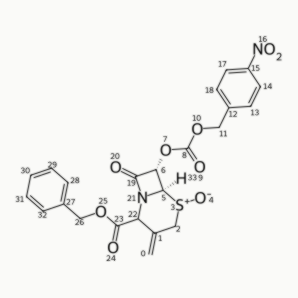 C=C1C[S+]([O-])[C@@H]2[C@@H](OC(=O)OCc3ccc([N+](=O)[O-])cc3)C(=O)N2C1C(=O)OCc1ccccc1